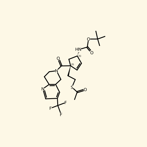 CC(=O)SCC[C@]1(C(=O)N2CCc3ncc(C(F)(F)F)cc3C2)C=C[C@@H](NC(=O)OC(C)(C)C)C1